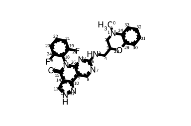 CN1CC(CNc2ncc3c4n[nH]cc4c(=O)n(-c4c(F)cccc4F)c3n2)Oc2ccccc21